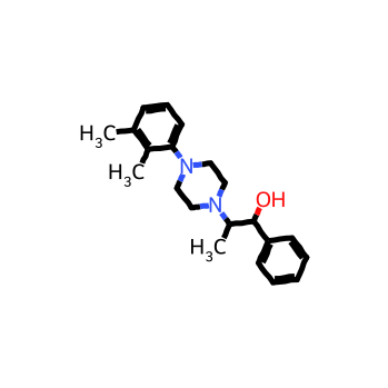 Cc1cccc(N2CCN(C(C)C(O)c3ccccc3)CC2)c1C